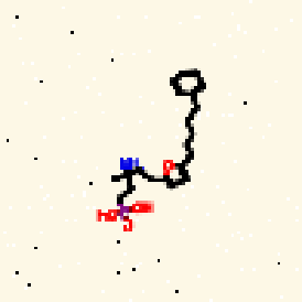 CC(N)(CCc1ccc(CCCCCc2ccccc2)o1)CCP(=O)(O)O